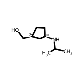 CC(C)N[C@@H]1CC[C@H](CO)C1